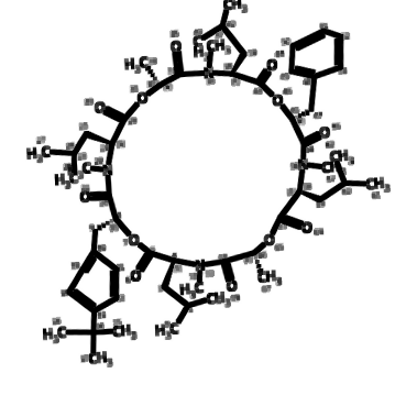 CC(C)C[C@H]1C(=O)O[C@H](Cc2ccc(C(C)(C)C)cc2)C(=O)N(C)[C@@H](CC(C)C)C(=O)O[C@H](C)C(=O)N(C)[C@@H](CC(C)C)C(=O)O[C@H](Cc2ccccc2)C(=O)N(C)[C@@H](CC(C)C)C(=O)O[C@H](C)C(=O)N1C